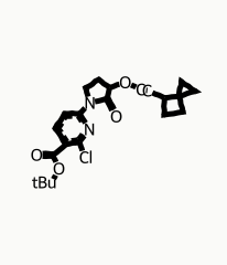 CC(C)(C)OC(=O)c1ccc(N2CCC(OCCC3CCC34CC4)C2=O)nc1Cl